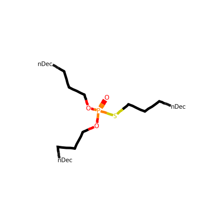 CCCCCCCCCCCCCOP(=O)(OCCCCCCCCCCCCC)SCCCCCCCCCCCCC